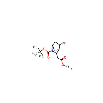 COC(=O)CC1C2CC(CC2O)N1C(=O)OC(C)(C)C